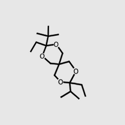 CCC1(C(C)C)OCC2(CO1)COC(CC)(C(C)(C)C)OC2